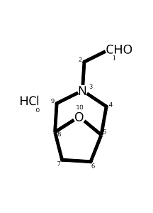 Cl.O=CCN1CC2CCC(C1)O2